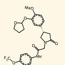 COc1ccc([C@@H]2CC(=O)N(CC(=O)Nc3ccc(OC(F)(F)F)cc3)C2)cc1OC1CCCO1